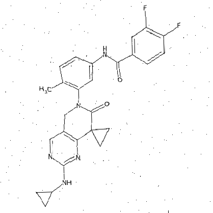 Cc1ccc(NC(=O)c2ccc(F)c(F)c2)cc1N1Cc2cnc(NC3CC3)nc2C2(CC2)C1=O